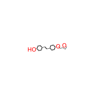 Oc1ccc(C=Cc2ccc(OCC3CCO3)cc2)cc1